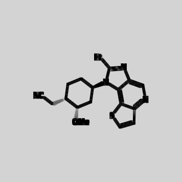 CCc1nc2cnc3ccsc3c2n1[C@@H]1CC[C@@H](CC#N)[C@@H](OC)C1